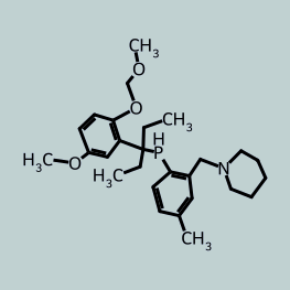 CCC(CC)(Pc1ccc(C)cc1CN1CCCCC1)c1cc(OC)ccc1OCOC